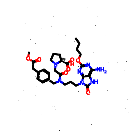 CCCCOc1nc(N)c2[nH]c(=O)n(CCCN(Cc3ccc(CC(=O)OC)cc3)C(=O)CN3CCC[C@H]3C(=O)O)c2n1